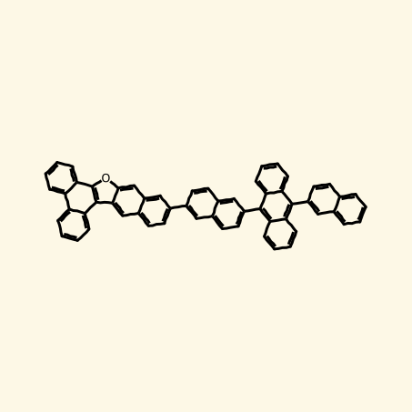 c1ccc2cc(-c3c4ccccc4c(-c4ccc5cc(-c6ccc7cc8c(cc7c6)oc6c7ccccc7c7ccccc7c86)ccc5c4)c4ccccc34)ccc2c1